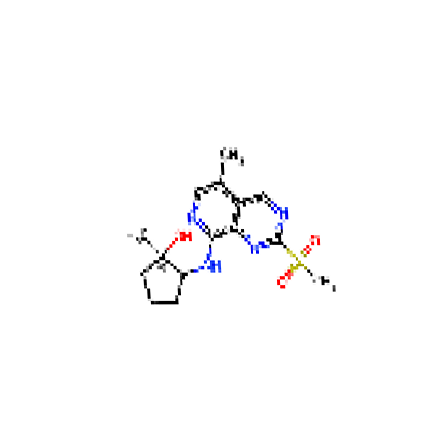 Cc1cnc(NC2CCC[C@@]2(C)O)c2nc(S(C)(=O)=O)ncc12